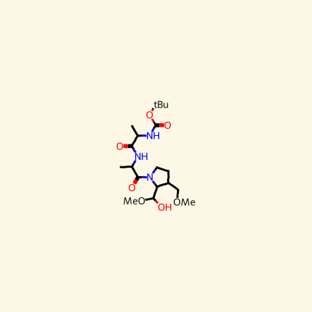 COCC1CCN(C(=O)C(C)NC(=O)C(C)NC(=O)OC(C)(C)C)C1C(O)OC